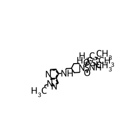 CCn1ncc2c(NCC3CCN(S(=O)(=O)N[Si](C)(C)C(C)(C)C)CC3)ccnc21